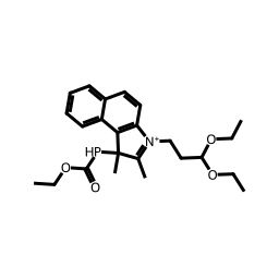 CCOC(=O)PC1(C)C(C)=[N+](CCC(OCC)OCC)c2ccc3ccccc3c21